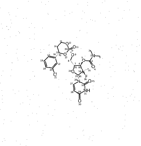 CN(C)C(=O)O[C@@H]1[C@@H](CO[P@@]2(=O)OCC[C@@H](c3cccc(Cl)c3)O2)O[C@@H](n2ccc(=O)[nH]c2=O)[C@]1(C)F